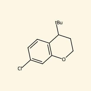 CC(C)(C)C1CCOc2cc(Cl)ccc21